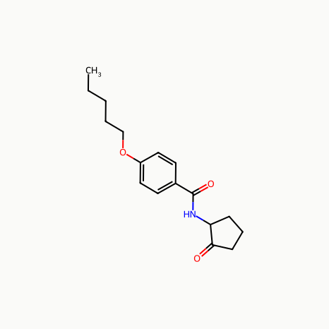 CCCCCOc1ccc(C(=O)NC2CCCC2=O)cc1